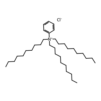 CCCCCCCCCC[N+](CCCCCCCCCC)(CCCCCCCCCC)c1ccccc1.[Cl-]